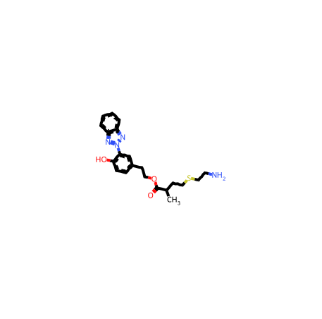 CC(CCSCCN)C(=O)OCCc1ccc(O)c(-n2nc3ccccc3n2)c1